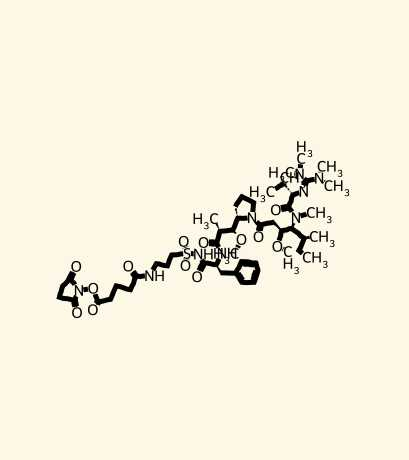 CC[C@H](C)[C@@H]([C@H](CC(=O)N1CCC[C@H]1[C@H](OC)[C@@H](C)C(=O)N[C@@H](Cc1ccccc1)C(=O)NS(=O)(=O)CCCNC(=O)CCCC(=O)ON1C(=O)CCC1=O)OC)N(C)C(=O)[C@@H](N=C(N(C)C)N(C)C)C(C)C